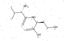 CC(C)[C@H](N)C(=O)N[C@@H](CCO)C(=O)O